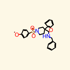 COc1ccc(S(=O)(=O)N2CCC(C(=O)NCc3ccccc3)(c3ccccc3)CC2)cc1